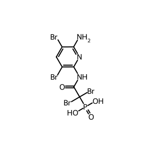 Nc1nc(NC(=O)C(Br)(Br)P(=O)(O)O)c(Br)cc1Br